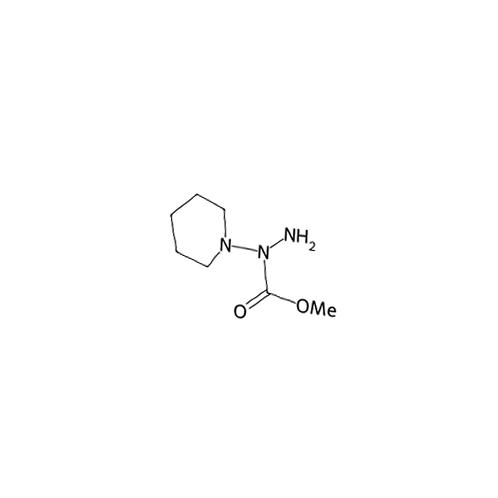 COC(=O)N(N)N1CCCCC1